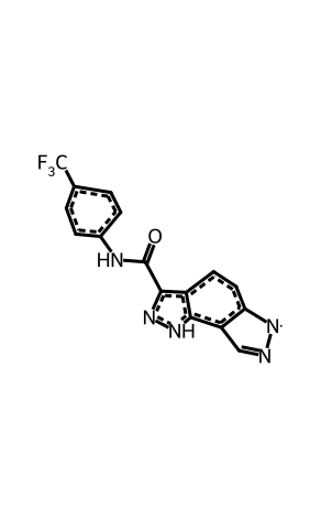 O=C(Nc1ccc(C(F)(F)F)cc1)c1n[nH]c2c3c(ccc12)[N]N=C3